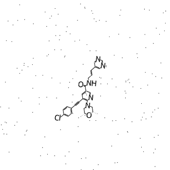 C[C@@H]1CN(c2ncc(C(=O)NC/C=C/c3cncnc3)cc2C#Cc2ccc(Cl)cc2)C[C@H](C)O1